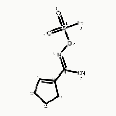 CCS(=O)(=O)ON=C(C#N)C1=CCCC1